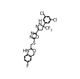 O=C(CSc1nnc(C2=NNC(c3cc(Cl)cc(Cl)c3)(C(F)(F)F)C2)o1)Nc1ccc(F)cc1F